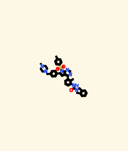 Cc1ccc(S(=O)(=O)n2c(-c3ccc(CN4CCN(C)CC4)cc3)cc3c(-c4cccc(NC(=O)N5Cc6ccccc6C5)c4C)ncnc32)cc1